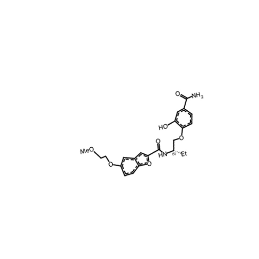 CC[C@@H](COc1ccc(C(N)=O)cc1O)NC(=O)c1cc2cc(OCCOC)ccc2o1